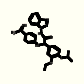 CCOc1cc(C(Nc2ccc(C(=N)N)cc2)C(=O)Nn2nnc3ccccc32)ccc1OC(C)C